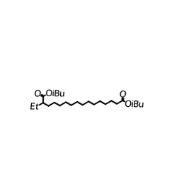 CCC(CCCCCCCCCCCCCC(=O)OCC(C)C)C(=O)OCC(C)C